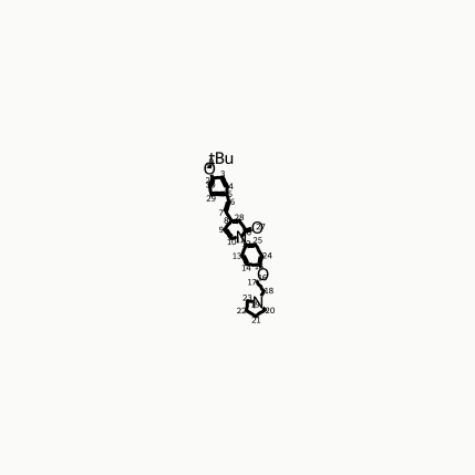 CC(C)(C)Oc1ccc(C=Cc2ccn(-c3ccc(OCCN4CCCC4)cc3)c(=O)c2)cc1